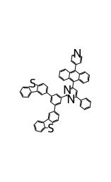 c1ccc(-c2cc(-c3c4ccccc4c(-c4ccncc4)c4ccccc34)nc(-c3cc(-c4ccc5sc6ccccc6c5c4)cc(-c4ccc5sc6ccccc6c5c4)c3)n2)cc1